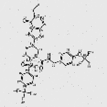 CCn1ncc2sc(N3CCN(S(=O)(=O)c4ccc(C(F)(F)F)cc4)[C@@H](C(=O)NCc4ccc(OC(F)(F)F)cc4)C3)nc2c1=O